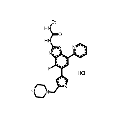 CCNC(=O)Nc1nc2c(F)c(-c3csc(CN4CCOCC4)c3)cc(-c3ccccn3)c2s1.Cl